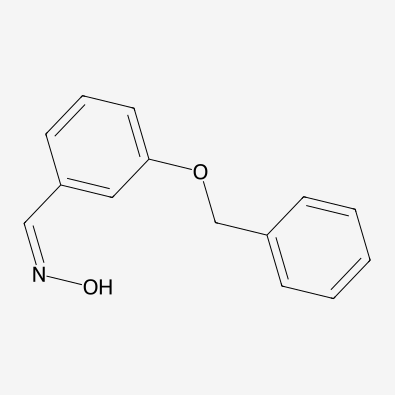 O/N=C\c1cccc(OCc2ccccc2)c1